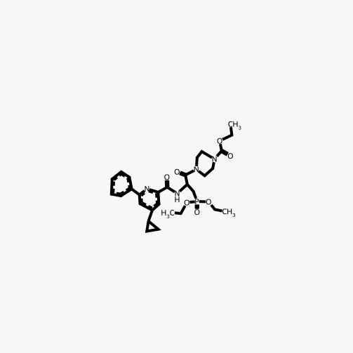 CCOC(=O)N1CCN(C(=O)C(CP(=O)(OCC)OCC)NC(=O)c2cc(C3CC3)cc(-c3ccccc3)n2)CC1